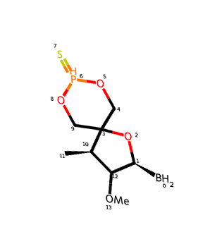 B[C@@H]1OC2(CO[PH](=S)OC2)[C@H](C)C1OC